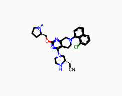 CN1CCC[C@@H]1COc1nc2c(c(N3CCN[C@@H](CC#N)C3)n1)CCN(c1cccc3cccc(Cl)c13)C2